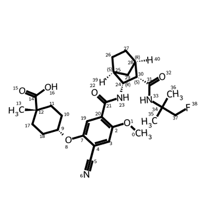 COc1cc(C#N)c(O[C@H]2CC[C@@](C)(C(=O)O)CC2)cc1C(=O)N[C@@H]1[C@H]2CC[C@H](C2)[C@@H]1C(=O)NC(C)(C)CF